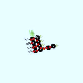 CCCC12CCC(c3ccc([S])cc3)(CC1)CC2.CCCC12CCC(c3ccc([S])cc3)(CC1)CC2.CCCC12CCC(c3ccc([S])cc3)(CC1)CC2.CCCC12CCC(c3ccc([S])cc3)(CC1)CC2.CCCC12CCC(c3ccc([S])cc3)(CC1)CC2.F.F.F.F.F